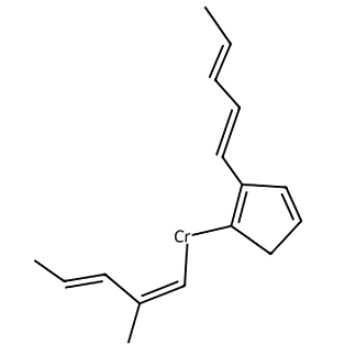 CC=CC=CC1=[C]([Cr][CH]=C(C)C=CC)CC=C1